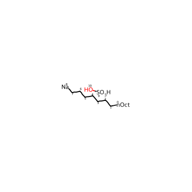 CCCCCCCCCCCCCC[CH2][Na].O=S(=O)(O)O